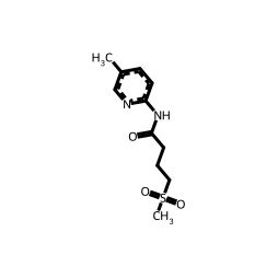 Cc1ccc(NC(=O)CCCS(C)(=O)=O)nc1